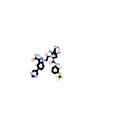 C=C1[C@@H]2[C@H]1C[C@@H](C(=O)Nc1cccc(OC(F)(F)F)c1F)N2C(=O)Cn1nc(C(N)=O)c2cc(-c3cncnc3)ccc21